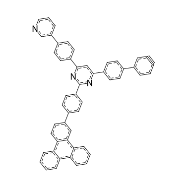 c1ccc(-c2ccc(-c3cc(-c4ccc(-c5cccnc5)cc4)nc(-c4ccc(-c5ccc6c7ccccc7c7ccccc7c6c5)cc4)n3)cc2)cc#1